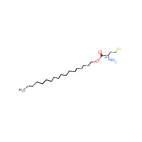 CCCCCCCCCCCCCCCCCCOC(=O)[C@H](N)CCS